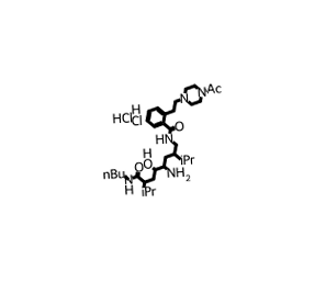 CCCCNC(=O)C(CC(O)C(N)CC(CNC(=O)c1ccccc1CCN1CCN(C(C)=O)CC1)C(C)C)C(C)C.Cl.Cl